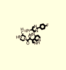 CC1CN(C(=O)C(=O)c2c[nH]c3nccc(Nc4nc(-c5ccc(F)cc5)ncc4C(C)C)c23)CCN1